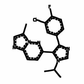 Cc1cnc2ccc(-c3c(-c4ccc(F)c(Cl)c4)ncn3C(C)C)nn12